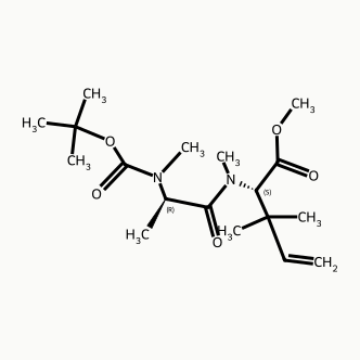 C=CC(C)(C)[C@@H](C(=O)OC)N(C)C(=O)[C@@H](C)N(C)C(=O)OC(C)(C)C